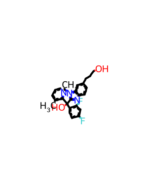 CCn1c(C(O)(c2ccc(F)cc2F)c2ncccc2C)nc2ccc(CCCO)cc21